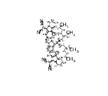 CCCCC(CC)CSC(SCC(CC)CCCC)=C1c2cc(/C=C3\C(=O)c4ccccc4C3=C(C#N)C#N)sc2C2SC(/C=C3/C(=C(C#N)C#N)c4ccccc4C3O)=CC12